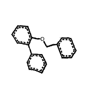 [c]1ccccc1COc1ccccc1-c1ccccc1